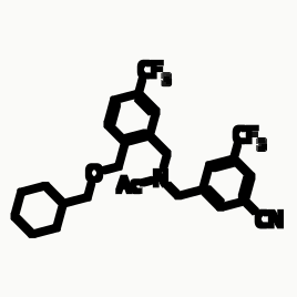 CC(=O)N(Cc1cc(C#N)cc(C(F)(F)F)c1)Cc1cc(C(F)(F)F)ccc1COCC1CCCCC1